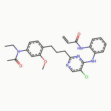 C=CC(=O)Nc1ccccc1Nc1nc(CCCc2ccc(N(CC)C(C)=O)cc2OC)ncc1Cl